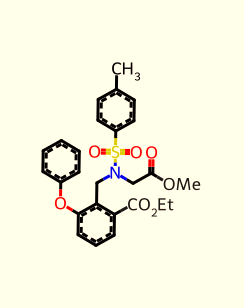 CCOC(=O)c1cccc(Oc2ccccc2)c1CN(CC(=O)OC)S(=O)(=O)c1ccc(C)cc1